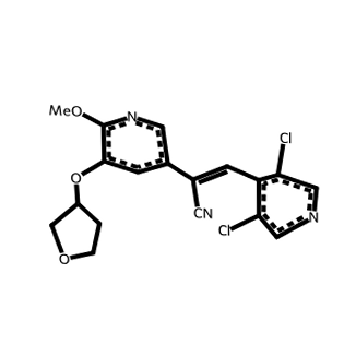 COc1ncc(C(C#N)=Cc2c(Cl)cncc2Cl)cc1OC1CCOC1